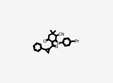 CC(C)c1ccc(-n2nc(C3CC3c3ccccc3)c3c2C(C#N)C(C)(C)CC3=O)cc1